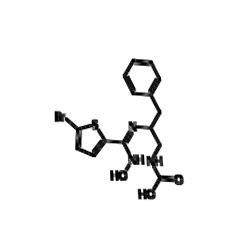 O=C(O)NCC(Cc1ccccc1)/N=C(\NO)c1ccc(Br)s1